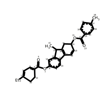 CCC1=CC=C(C(=O)Oc2ccc3c(c2)C(C)C2=C3C=CC(OC(=O)c3ccc(C)cc3)C2)CC1